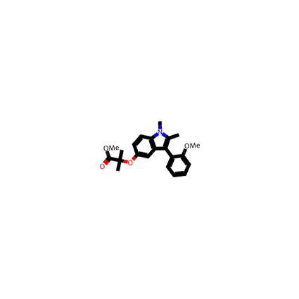 COC(=O)C(C)(C)Oc1ccc2c(c1)c(-c1ccccc1OC)c(C)n2C